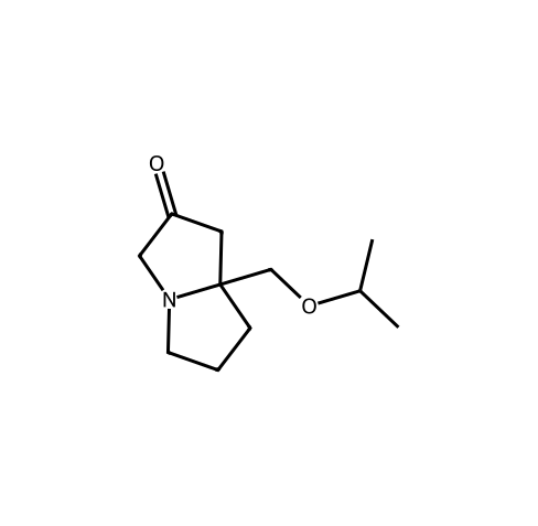 CC(C)OCC12CCCN1CC(=O)C2